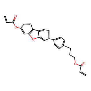 C=CC(=O)OCCCc1ccc(-c2ccc3c(c2)oc2cc(OC(=O)C=C)ccc23)cc1